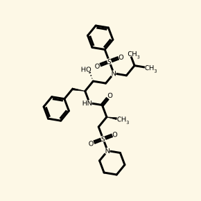 CC(C)CN(C[C@@H](O)[C@H](Cc1ccccc1)NC(=O)[C@@H](C)CS(=O)(=O)N1CCCCC1)S(=O)(=O)c1ccccc1